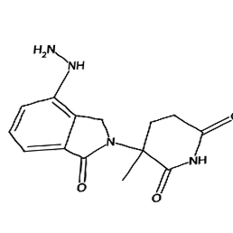 CC1(N2Cc3c(NN)cccc3C2=O)CCC(=O)NC1=O